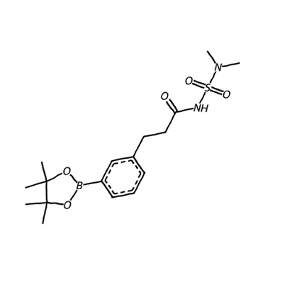 CN(C)S(=O)(=O)NC(=O)CCc1cccc(B2OC(C)(C)C(C)(C)O2)c1